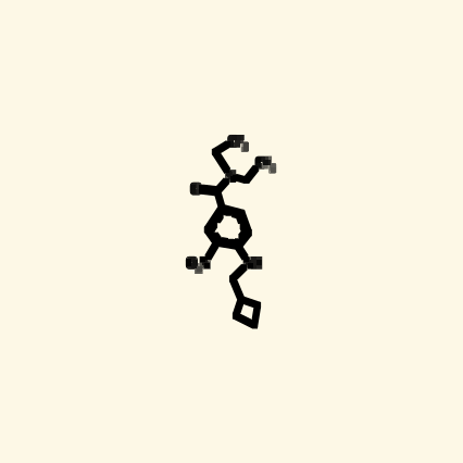 O=C(c1ccc(NCC2CCC2)c([N+](=O)[O-])c1)N(CC(F)(F)F)CC(F)(F)F